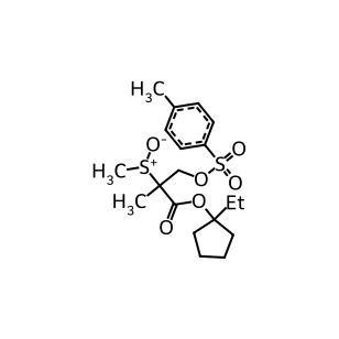 CCC1(OC(=O)C(C)(COS(=O)(=O)c2ccc(C)cc2)[S+](C)[O-])CCCC1